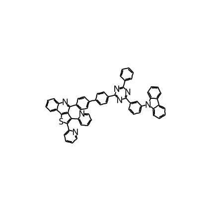 c1ccc(-c2nc(-c3ccc(-c4ccc(-c5nc6ccccc6c6sc(-c7ccccn7)c(-c7ccccn7)c56)cc4)cc3)nc(-c3cccc(-n4c5ccccc5c5ccccc54)c3)n2)cc1